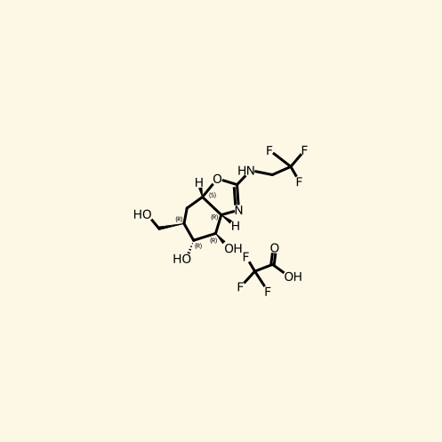 O=C(O)C(F)(F)F.OC[C@H]1C[C@@H]2OC(NCC(F)(F)F)=N[C@@H]2[C@@H](O)[C@@H]1O